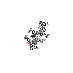 COc1ccc(C(NCCN(CCN(CCN(CCN(CCNC(c2ccccc2)(c2ccccc2)c2ccc(OC)cc2)S(=O)(=O)c2ccc([N+](=O)[O-])cc2[N+](=O)[O-])S(=O)(=O)c2ccc([N+](=O)[O-])cc2[N+](=O)[O-])S(=O)(=O)c2ccc([N+](=O)[O-])cc2[N+](=O)[O-])S(=O)(=O)c2ccc([N+](=O)[O-])cc2[N+](=O)[O-])(c2ccccc2)c2ccccc2)cc1